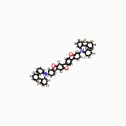 c1ccc(N(c2ccc3c(c2)oc2cc4c(cc23)oc2cc3c(cc24)oc2cc(N(c4ccccc4)c4cccc5sc6ccccc6c45)ccc23)c2cccc3sc4ccccc4c23)cc1